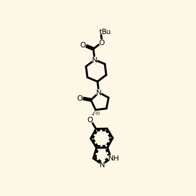 CC(C)(C)OC(=O)N1CCC(N2CC[C@H](Oc3ccc4[nH]ncc4c3)C2=O)CC1